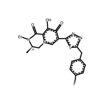 CCN1C(=O)c2c(O)c(=O)c(-c3nnc(Cc4ccc(F)cc4)s3)cn2C[C@H]1C